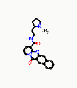 CN1CCCC1CCNC(=O)c1cccn2c(=O)c3cc4ccccc4cc3nc12